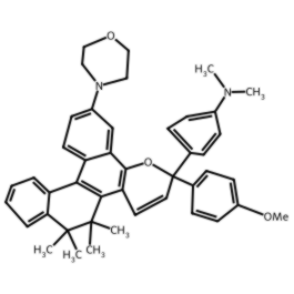 COc1ccc(C2(c3ccc(N(C)C)cc3)C=Cc3c4c(c5ccc(N6CCOCC6)cc5c3O2)-c2ccccc2C(C)(C)C4(C)C)cc1